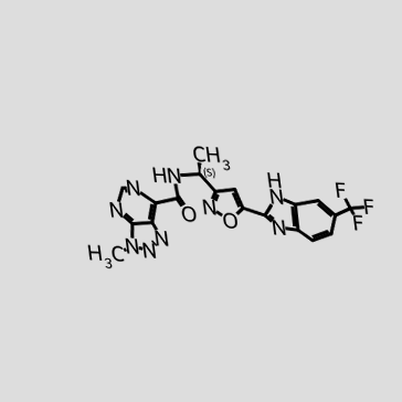 C[C@H](NC(=O)c1ncnc2c1nnn2C)c1cc(-c2nc3ccc(C(F)(F)F)cc3[nH]2)on1